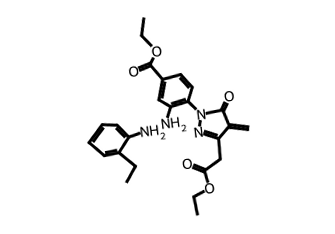 C=C1C(=O)N(c2ccc(C(=O)OCC)cc2N)N=C1CC(=O)OCC.CCc1ccccc1N